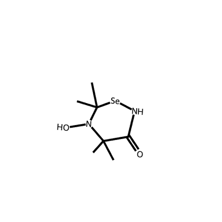 CC1(C)[Se]NC(=O)C(C)(C)N1O